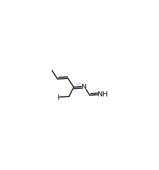 CC=C/C(CI)=N/C=N